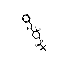 CC(C)(C)C(=O)ON1CCC(NCc2ccccc2)C(F)(F)C1